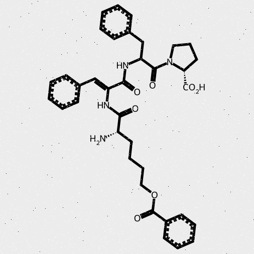 N[C@@H](CCCCOC(=O)c1ccccc1)C(=O)N/C(=C\c1ccccc1)C(=O)NC(Cc1ccccc1)C(=O)N1CCC[C@@H]1C(=O)O